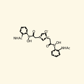 CC(=O)Nc1ccccc1N(O)C(=O)Cn1cc[n+](CC(=O)N(O)c2ccccc2NC(C)=O)c1.[Cl-]